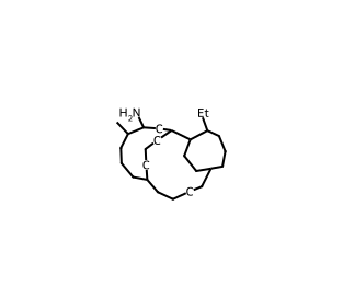 CCC1CCCC2CCCCC3CCCC(C)C(N)CC(CCC3)C1CC2